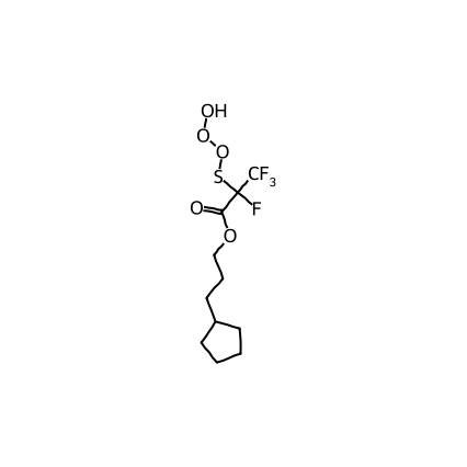 O=C(OCCCC1CCCC1)C(F)(SOOO)C(F)(F)F